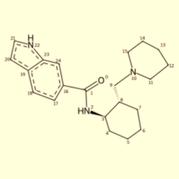 O=C(N[C@@H]1CCCC[C@H]1CN1CCCCC1)c1ccc2cc[nH]c2c1